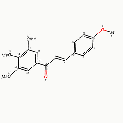 CCOc1ccc(C=CC(=O)c2cc(OC)c(OC)c(OC)c2)cc1